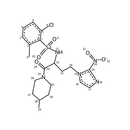 Cc1cccc(Cl)c1S(=O)(=O)NC(CCn1ccnc1[N+](=O)[O-])C(=O)N1CCC(C)CC1